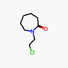 O=C1CCCCCN1CCCl